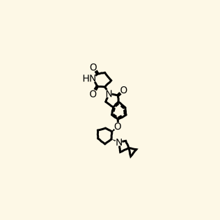 O=C1CCC(N2Cc3cc(O[C@@H]4CCCC[C@H]4N4CC5(CC5)C4)ccc3C2=O)C(=O)N1